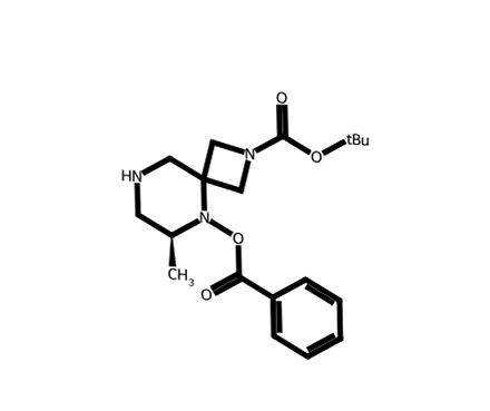 C[C@H]1CNCC2(CN(C(=O)OC(C)(C)C)C2)N1OC(=O)c1ccccc1